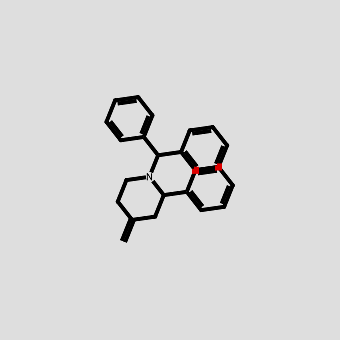 C=C1CCN(C(c2ccccc2)c2ccccc2)C(c2ccccc2)C1